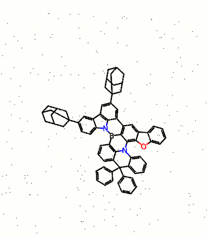 c1ccc(C2(c3ccccc3)c3ccccc3N3c4c(cccc42)B2c4c(cc5c(oc6ccccc65)c43)-c3cc(C45CC6CC(CC(C6)C4)C5)cc4c5cc(C67CC8CC(CC(C8)C6)C7)ccc5n2c34)cc1